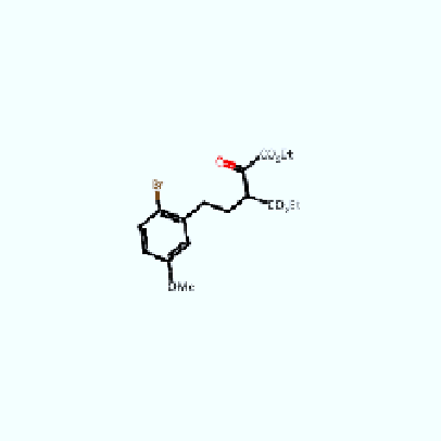 CCOC(=O)C(=O)C(CCc1cc(OC)ccc1Br)C(=O)OCC